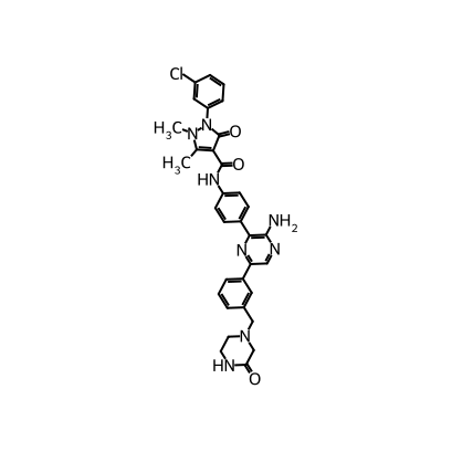 Cc1c(C(=O)Nc2ccc(-c3nc(-c4cccc(CN5CCNC(=O)C5)c4)cnc3N)cc2)c(=O)n(-c2cccc(Cl)c2)n1C